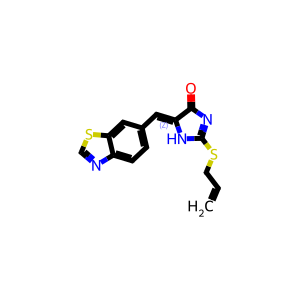 C=CCSC1=NC(=O)/C(=C/c2ccc3ncsc3c2)N1